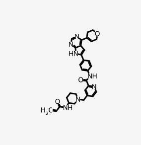 C=CC(=O)NC1CCCN(Cc2ccnc(C(=O)Nc3ccc(-c4cc5c(C6=CCOCC6)ncnc5[nH]4)cc3)c2)C1